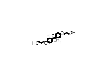 CC(C)(c1ccc(OCCCO)cc1)c1ccc(OCCCO)cc1